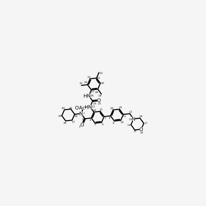 CC(=O)ON(C(=O)c1ccc(-c2ccc(CN3CCOCC3)cc2)cc1NC(=O)Nc1c(C)cc(C)cc1C)C1CCCCC1